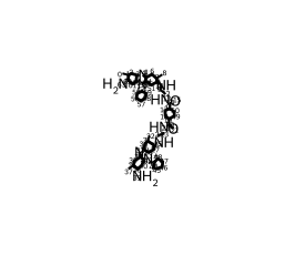 Cc1cc2nc3cc(C)c(NCCNC(=O)c4ccc(C(=O)NCCNc5cc6c(cc5C)nc5cc(C)c(N)cc5[n+]6-c5ccccc5)cc4)cc3[n+](-c3ccccc3)c2cc1N